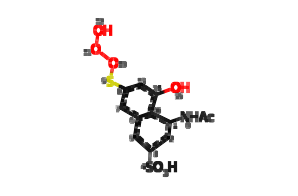 CC(=O)Nc1cc(S(=O)(=O)O)cc2cc(SOOO)cc(O)c12